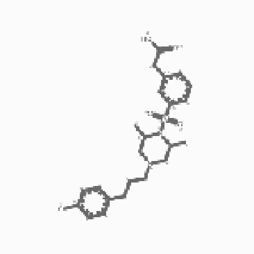 CC1CN(CCCc2ccc(Cl)cc2)CC(C)N1S(=O)(=O)c1cccc(CC(=O)O)c1